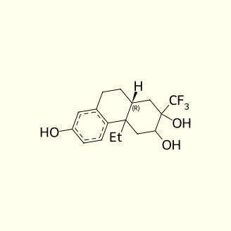 CCC12CC(O)C(O)(C(F)(F)F)C[C@H]1CCc1cc(O)ccc12